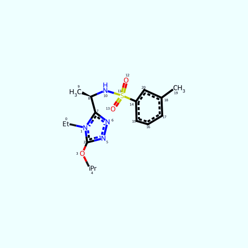 CCn1c(OC(C)C)nnc1[C@@H](C)NS(=O)(=O)c1cccc(C)c1